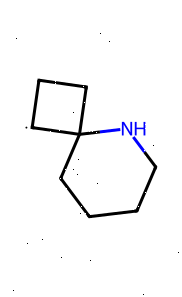 [CH]1CCC12CCCCN2